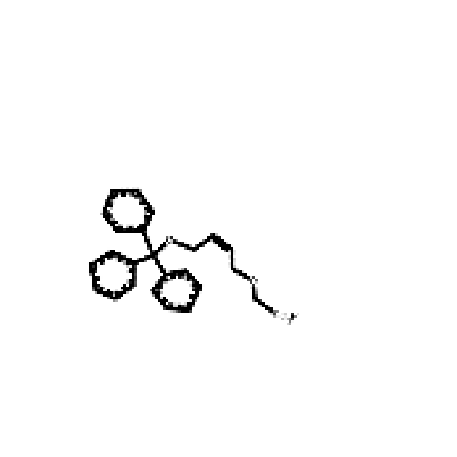 O=C(O)COC/C=C\COC(c1ccccc1)(c1ccccc1)c1ccccc1